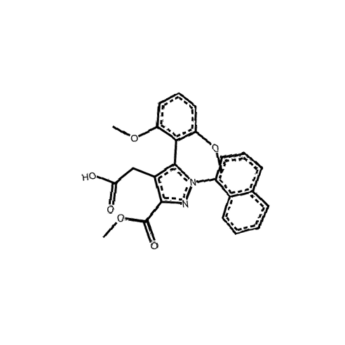 COC(=O)c1nn(-c2cccc3ccccc23)c(-c2c(OC)cccc2OC)c1CC(=O)O